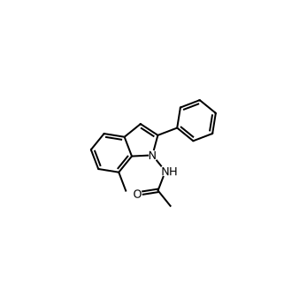 CC(=O)Nn1c(-c2ccccc2)cc2cccc(C)c21